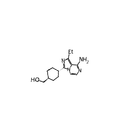 CCc1nc([C@H]2CC[C@H](CO)CC2)n2ccnc(N)c12